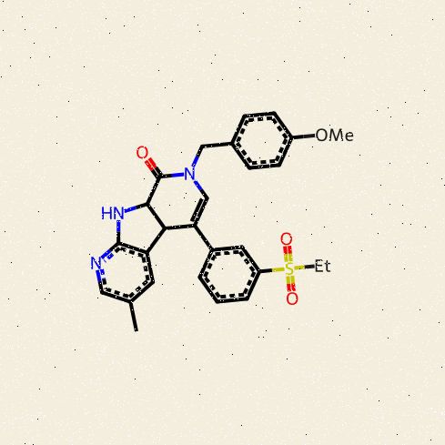 CCS(=O)(=O)c1cccc(C2=CN(Cc3ccc(OC)cc3)C(=O)C3Nc4ncc(C)cc4C23)c1